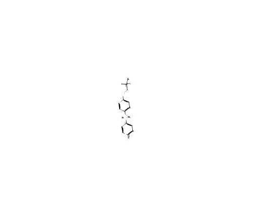 CC1(COc2ccc(S(=O)(=O)c3ccc(O)cc3)cc2)CO1